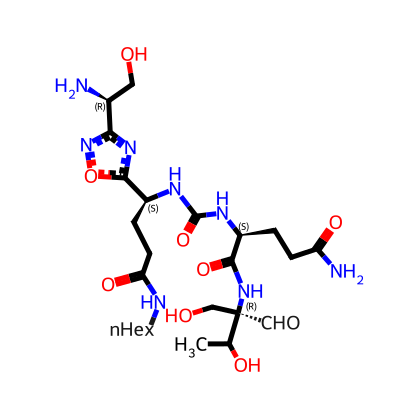 CCCCCCNC(=O)CC[C@H](NC(=O)N[C@@H](CCC(N)=O)C(=O)N[C@](C=O)(CO)C(C)O)c1nc([C@@H](N)CO)no1